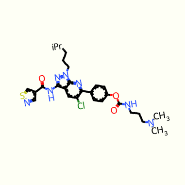 CC(C)CCCn1nc(NC(=O)c2cnsc2)c2cc(Cl)c(-c3ccc(OC(=O)NCCCN(C)C)cc3)nc21